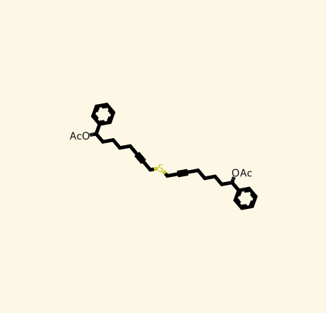 CC(=O)OC(CCCCC#CCSCC#CCCCCC(OC(C)=O)c1ccccc1)c1ccccc1